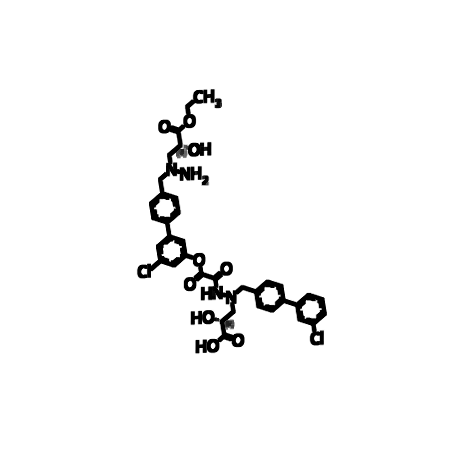 CCOC(=O)[C@H](O)CN(N)Cc1ccc(-c2cc(Cl)cc(OC(=O)C(=O)NN(Cc3ccc(-c4cccc(Cl)c4)cc3)C[C@@H](O)C(=O)O)c2)cc1